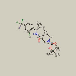 CC1=C(c2ccc(C(F)(F)I)cc2F)NC(=O)C2(CC1)CCN(C(=O)OC(C)(C)C)CC2